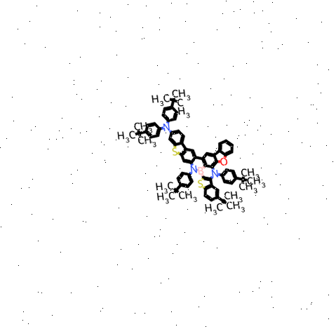 CC(C)(C)c1ccc(N2B3c4sc5ccc(C(C)(C)C)cc5c4N(c4ccc(C(C)(C)C)cc4)c4c3c(cc3c4oc4ccccc43)-c3cc4c(cc32)sc2cc(N(c3ccc(C(C)(C)C)cc3)c3ccc(C(C)(C)C)cc3)ccc24)cc1